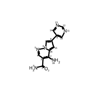 NC(=O)c1cnn2cc(-c3cncnc3)cc2c1N